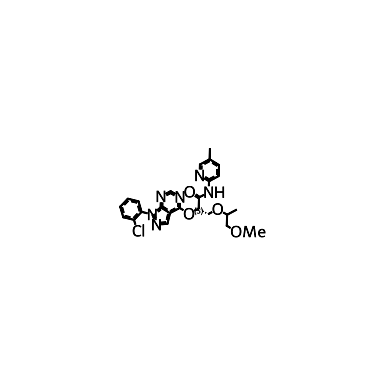 COCC(C)OC[C@H](Oc1ncnc2c1cnn2-c1ccccc1Cl)C(=O)Nc1ccc(C)cn1